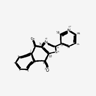 O=C1c2ccccc2C(=O)c2sc(-c3cccnc3)nc21